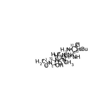 C=CC(=O)N1C[C@@H](O)[C@@H](NC(=O)c2c(C)nc(CNC(=N)c3cc(C(C)(C)C)c(Cl)cc3N)n2C)C1